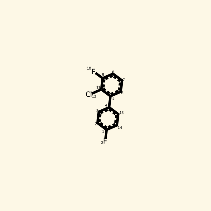 Fc1ccc(-c2cccc(F)c2Cl)cc1